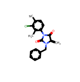 C=C1C(=O)N(c2ccc(C#N)c(Cl)c2C)C(=O)N1Cc1ccccc1